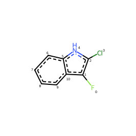 Fc1c(Cl)[nH]c2ccccc12